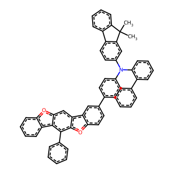 CC1(C)c2ccccc2-c2ccc(N(c3ccc(-c4ccc5oc6c(-c7ccccc7)c7c(cc6c5c4)oc4ccccc47)cc3)c3ccccc3-c3ccccc3)cc21